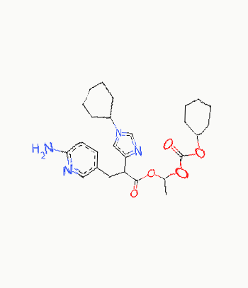 CC(OC(=O)OC1CCCCC1)OC(=O)C(Cc1ccc(N)nc1)c1cn(C2CCCCC2)cn1